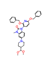 COC(OC)C1CCN(c2ccc3c(c2)n(C)c(=O)n3-c2ccc(OCc3ccccc3)nc2OCc2ccccc2)CC1